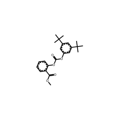 COC(=O)c1ccccc1OC(=O)Oc1cc(C(C)(C)C)cc(C(C)(C)C)c1